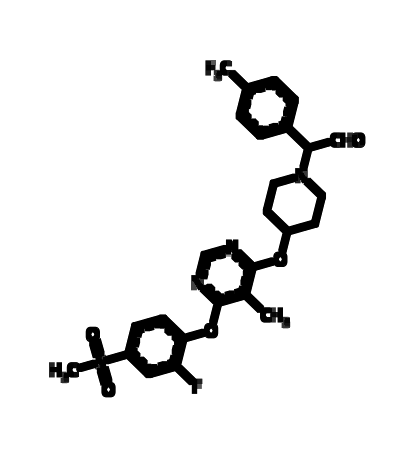 Cc1c(Oc2ccc(S(C)(=O)=O)cc2F)ncnc1OC1CCN(C(C=O)c2ccc(C(F)(F)F)cc2)CC1